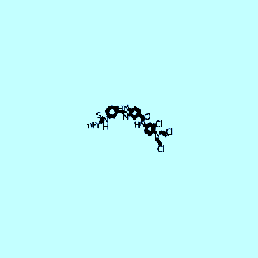 CCCC(=S)Nc1cccc(-c2nc3cc(C(=O)Nc4ccc(N(CCCl)CCCl)c(Cl)c4)ccc3[nH]2)c1